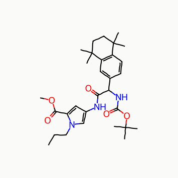 CCCn1cc(NC(=O)C(NC(=O)OC(C)(C)C)c2ccc3c(c2)C(C)(C)CCC3(C)C)cc1C(=O)OC